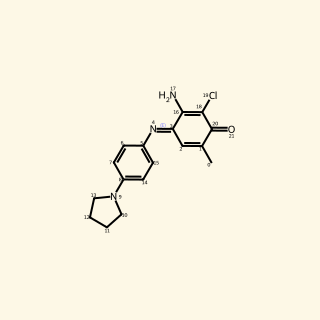 CC1=C/C(=N\c2ccc(N3CCCC3)cc2)C(N)=C(Cl)C1=O